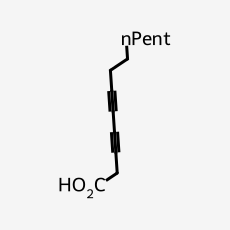 CCCCCCCC#CC#CCC(=O)O